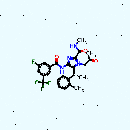 CNC(=O)c1nc(NC(=O)c2cc(F)cc(C(F)(F)F)c2)c([C@H](C)c2ccccc2C)n1CC(C)=O